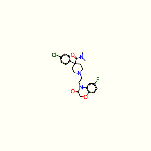 CN(C)C(=O)C1(c2ccc(Cl)cc2)CCN(CCN2C(=O)COc3ccc(F)cc32)CC1